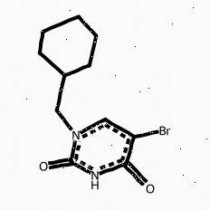 O=c1[nH]c(=O)n(CC2CCCCC2)cc1Br